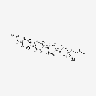 CCCCC1(C#N)CCC(c2ccc(-c3ccc(C4OCC(CCC)CO4)cc3)cc2)CC1